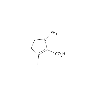 CC1=C(C(=O)O)N(P)CC1